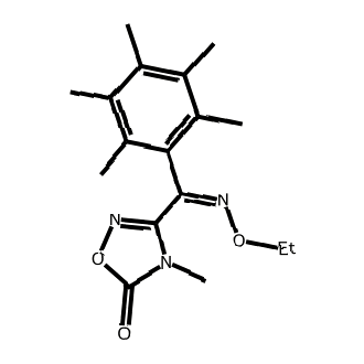 CCON=C(c1c(C)c(C)c(C)c(C)c1C)c1noc(=O)n1C